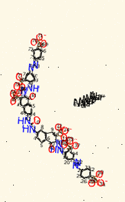 O=C(Nc1ccc2c(c1)C=C(S(=O)(=O)[O-])/C(=N/Nc1ccc(N=Nc3ccc(S(=O)(=O)[O-])cc3)cc1S(=O)(=O)[O-])C2=O)Nc1ccc2c(c1)C=C(S(=O)(=O)[O-])/C(=N/Nc1ccc(N=Nc3ccc(S(=O)(=O)[O-])cc3)cc1S(=O)(=O)[O-])C2=O.[Na+].[Na+].[Na+].[Na+].[Na+].[Na+]